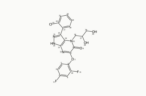 O=c1c(Oc2ccc(F)cc2F)nc2[nH]nc(-c3ccccc3Cl)c2n1CC(O)CO